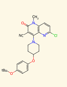 Cn1c(=O)c(C#N)c(N2CCC(Oc3ccc(OC(C)(C)C)cc3)CC2)c2nc(Cl)ccc21